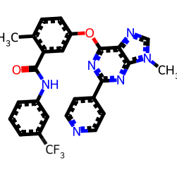 Cc1ccc(Oc2nc(-c3ccncc3)nc3c2ncn3C)cc1C(=O)Nc1cccc(C(F)(F)F)c1